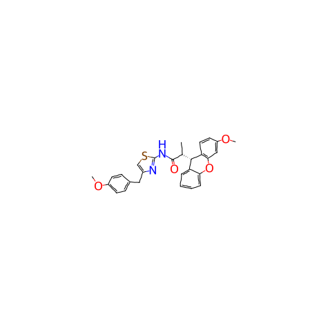 COc1ccc(Cc2csc(NC(=O)C(C)[C@H]3c4ccccc4Oc4cc(OC)ccc43)n2)cc1